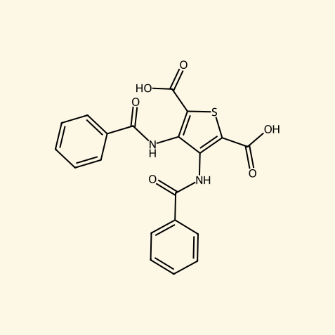 O=C(Nc1c(C(=O)O)sc(C(=O)O)c1NC(=O)c1ccccc1)c1ccccc1